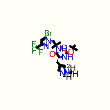 [2H]C([2H])([2H])n1cc(C[C@@H](NC(=O)OC(C)(C)C)C(=O)NC(C)(C)Cn2nc(C(F)(F)F)cc2Br)cn1